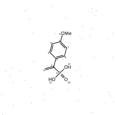 C=C(c1ccc(OC)cc1)P(=O)(O)O